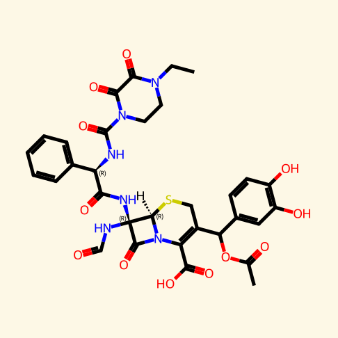 CCN1CCN(C(=O)N[C@@H](C(=O)N[C@]2(NC=O)C(=O)N3C(C(=O)O)=C(C(OC(C)=O)c4ccc(O)c(O)c4)CS[C@@H]32)c2ccccc2)C(=O)C1=O